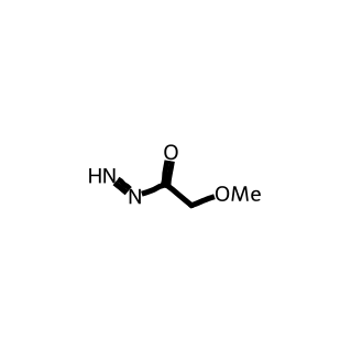 COCC(=O)N=N